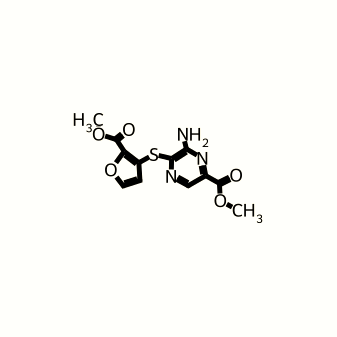 COC(=O)c1cnc(Sc2ccoc2C(=O)OC)c(N)n1